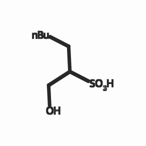 CCCCCC(CO)S(=O)(=O)O